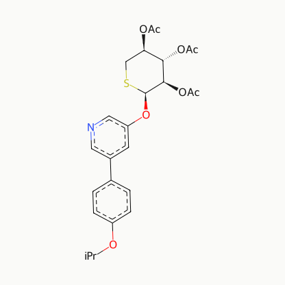 CC(=O)O[C@@H]1[C@@H](OC(C)=O)[C@@H](Oc2cncc(-c3ccc(OC(C)C)cc3)c2)SC[C@H]1OC(C)=O